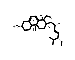 CC[C@@H](/C=C/[C@@H](C)[C@H]1CC[C@H]2C3=CC=C4C[C@@H](O)CC[C@]4(C)[C@H]3CC[C@]12C)C(C)C